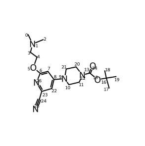 CN(C)CCOc1cc(N2CCN(C(=O)OC(C)(C)C)CC2)cc(C#N)n1